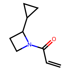 C=CC(=O)N1CCC1C1CC1